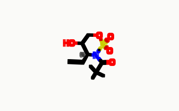 C=C[C@H]1C(O)COS(=O)(=O)N1C(=O)C(C)(C)C